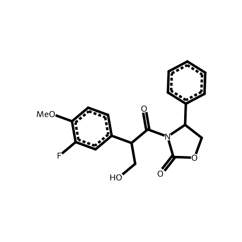 COc1ccc(C(CO)C(=O)N2C(=O)OCC2c2ccccc2)cc1F